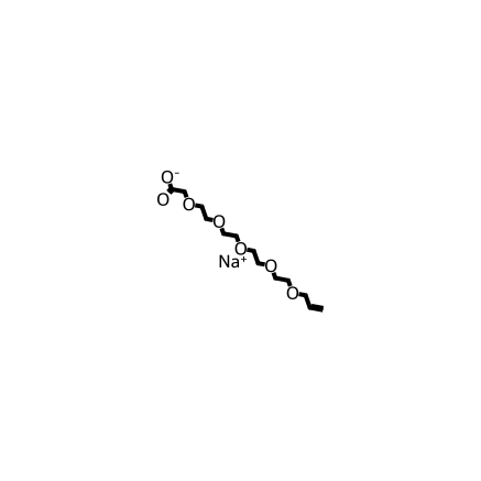 C=CCOCCOCCOCCOCCOCC(=O)[O-].[Na+]